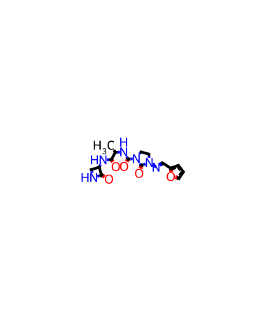 CC(NC(=O)N1CCN(N=Cc2ccco2)C1=O)C(=O)NC1CNC1=O